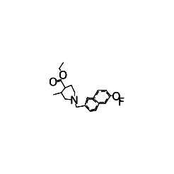 CCOC(=O)C1CCN(Cc2ccc3cc(OF)ccc3c2)CC1C